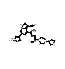 C=N/C(=C\C=C(/C)c1cc(-c2cnn(C)c2)cn2ncc(C#N)c12)N1CCN(C2CCOC2)CC1